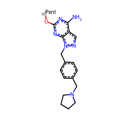 CCC[C@H](C)Oc1nc(N)c2cnn(Cc3ccc(CN4CCCC4)cc3)c2n1